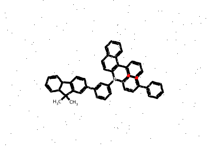 CC1(C)c2cc(-c3cccc(N(c4ccc(-c5ccccc5)cc4)c4ccc5ccccc5c4-c4ccccc4)c3)ccc2C2C=CC=CC21